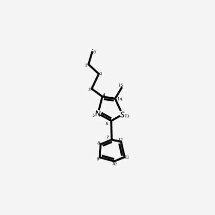 [CH2]CCCc1nc(-c2ccccc2)sc1C